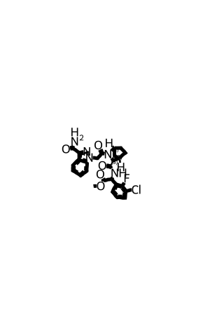 COC(=O)C(NC(=O)[C@@H]1[C@H]2CC[C@H](C2)N1C(=O)Cn1nc(C(N)=O)c2ccccc21)c1cccc(Cl)c1F